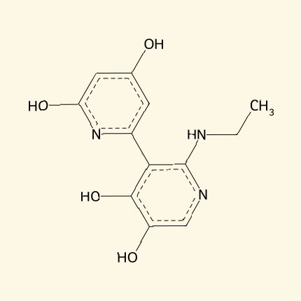 CCNc1ncc(O)c(O)c1-c1cc(O)cc(O)n1